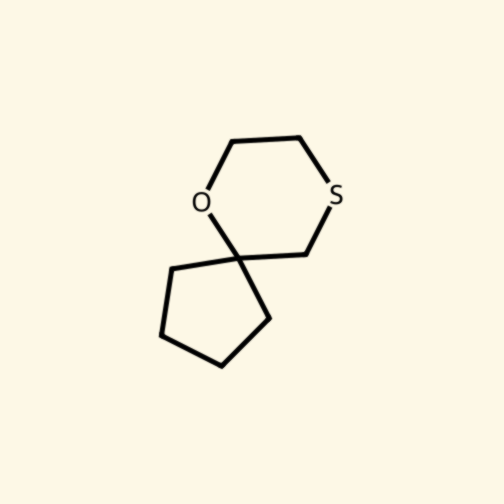 C1CCC2(C1)CSCCO2